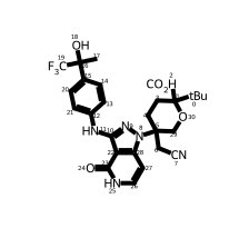 CC(C)(C)C1(C(=O)O)CCC(CC#N)(n2nc(Nc3ccc(C(C)(O)C(F)(F)F)cc3)c3c(=O)[nH]ccc32)CO1